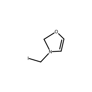 ICN1C=COC1